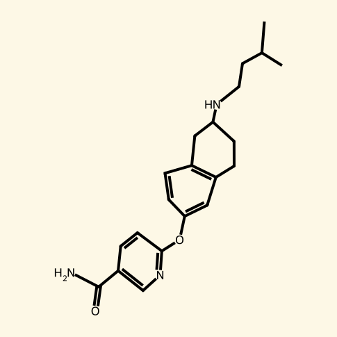 CC(C)CCNC1CCc2cc(Oc3ccc(C(N)=O)cn3)ccc2C1